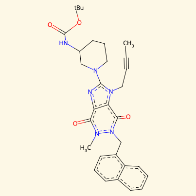 CC#CCn1c(N2CCCC(NC(=O)OC(C)(C)C)C2)nc2c(=O)n(C)n(Cc3cccc4ccccc34)c(=O)c21